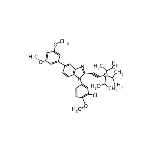 COc1cc(OC)cc(-c2ccc3c(c2)nc(C#C[Si](C(C)C)(C(C)C)C(C)C)n3-c2ccc(OC)c(Cl)c2)c1